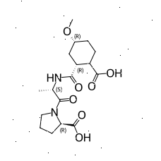 CO[C@@H]1CCC(C(=O)O)[C@H](C(=O)N[C@@H](C)C(=O)N2CCC[C@@H]2C(=O)O)C1